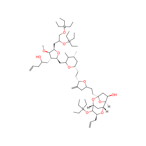 C=CCC(O)C[C@@H]1[C@@H](OC)[C@@H](CC(CO[Si](CC)(CC)CC)O[Si](CC)(CC)CC)O[C@H]1CC1O[C@@H](CC[C@@H]2OC(CC[C@]34C[C@@H](O)[C@H](O3)[C@H]3C[C@@H](O4)C(O[Si](CC)(CC)CC)[C@H](CC=C)O3)CC2=C)C[C@@H](C)C1C